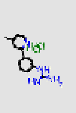 Cc1ccnc(-c2cccc(NC(=N)N)c2)c1.Cl.Cl